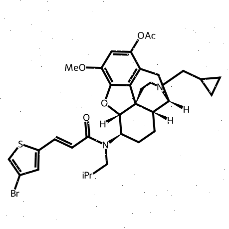 COc1cc(OC(C)=O)c2c3c1O[C@H]1[C@H](N(CC(C)C)C(=O)/C=C/c4cc(Br)cs4)CC[C@H]4[C@@H](C2)N(CC2CC2)CC[C@@]341